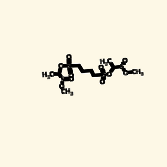 COS(=O)C(C)OS(=O)(=O)CCCCS(=O)(=O)OC(C)S(=O)OC